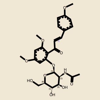 COc1ccc(/C=C/C(=O)c2c(OC)cc(OC)cc2O[C@@H]2O[C@H](CO)[C@@H](O)[C@H](O)[C@@H]2NC(C)=O)cc1